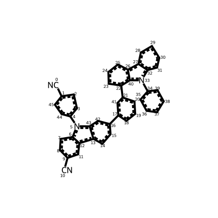 N#Cc1ccc(-n2c3ccc(C#N)cc3c3ccc(-c4cccc(-c5cccc6c7ccccc7n(-c7ccccc7)c56)c4)cc32)cc1